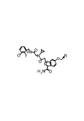 N#CCOc1ccc2c(C(N)=O)nn(CC(=O)N(CC(=O)NCc3cccc(Cl)c3F)C3CC3)c2c1